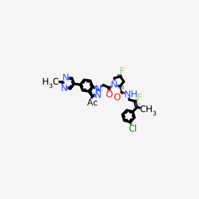 CC(=O)c1nn(CC(=O)N2C[C@H](F)C[C@H]2C(=O)NC/C(F)=C(/C)c2cccc(Cl)c2)c2ccc(-c3cnc(C)nc3)cc12